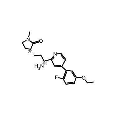 CCOc1ccc(F)c(-c2ccnc([C@H](N)CC[C@@H]3CCN(C)C3=O)c2)c1